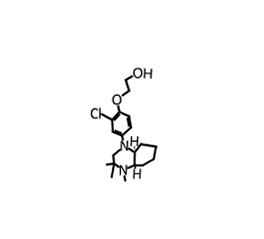 CN1[C@H]2CCCC[C@@H]2N(c2ccc(OCCO)c(Cl)c2)CC1(C)C